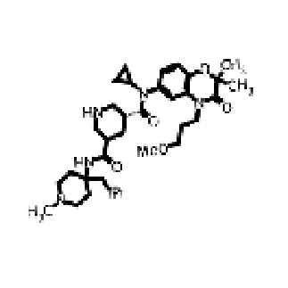 COCCCN1C(=O)C(C)(C)Oc2ccc(N(C(=O)[C@H]3CNCC(C(=O)NC4(CC(C)C)CCN(C)CC4)C3)C3CC3)cc21